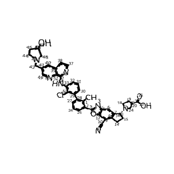 Cc1c(-c2nc3cc4c(c(C#N)c3o2)CC[C@H]4N2CC[C@@H](C(=O)O)C2)cccc1-c1cccc(Nc2nccc3cc(CN4CC[C@@H](O)C4)cnc23)c1Cl